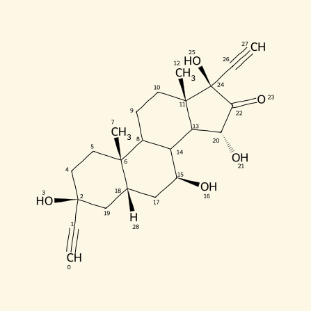 C#C[C@]1(O)CC[C@]2(C)C3CC[C@@]4(C)C(C3[C@@H](O)C[C@@H]2C1)[C@@H](O)C(=O)[C@@]4(O)C#C